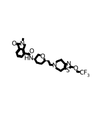 CN1Cc2c(C(=O)N[C@H]3CC[C@H](CCN4CCc5nc(OCC(F)(F)F)sc5CC4)OC3)cccc2C1=O